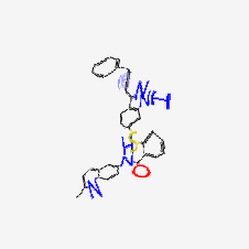 Cc1ccc2cc(NC(=O)c3ccccc3Sc3ccc4c(/C=C/c5ccccc5)n[nH]c4c3)ccc2n1